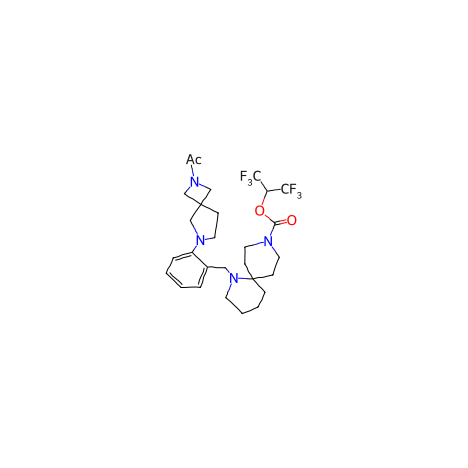 CC(=O)N1CC2(CCN(c3ccccc3CN3CCCCC34CCN(C(=O)OC(C(F)(F)F)C(F)(F)F)CC4)C2)C1